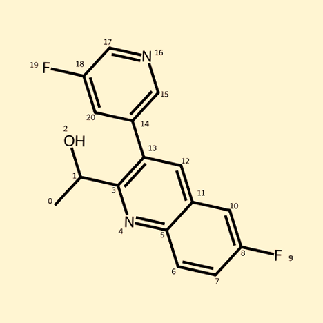 CC(O)c1nc2ccc(F)cc2cc1-c1cncc(F)c1